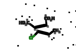 CC=CCl.O=C(O)/C=C\C(=O)O